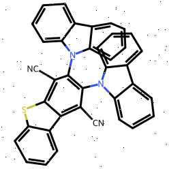 N#Cc1c(-n2c3ccccc3c3ccccc32)c(-n2c3ccccc3c3ccccc32)c(C#N)c2c1sc1ccccc12